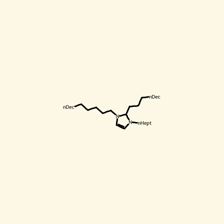 CCCCCCCCCCCCCCCN1C=CN(CCCCCCC)C1CCCCCCCCCCCCC